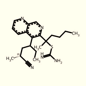 CCCCC(C)(SC(=N)N)c1ncc2ncccc2c1C(CC)C[C@@H](C)C#N